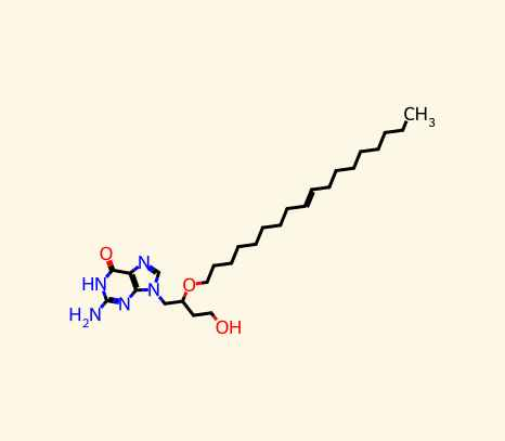 CCCCCCCC/C=C/CCCCCCCCOC(CCO)Cn1cnc2c(=O)[nH]c(N)nc21